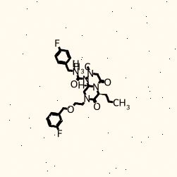 CCC[C@H]1C(=O)N(CCOCc2cccc(F)c2)C[C@H]2N1C(=O)CN(C)N2C(=O)NCc1ccc(F)cc1